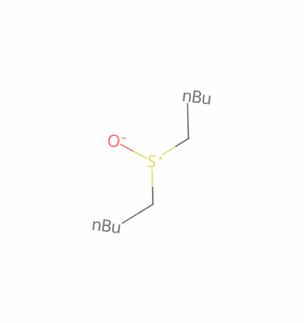 [CH2]CCCC[S+]([O-])CCCCC